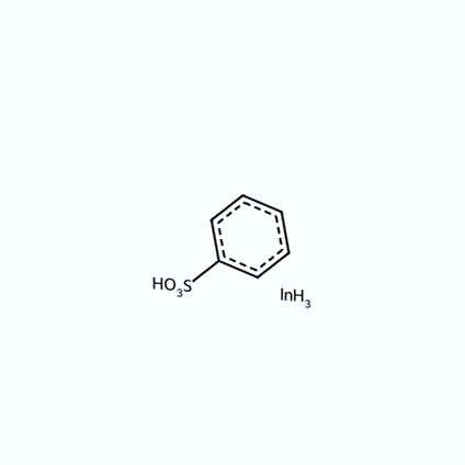 O=S(=O)(O)c1ccccc1.[InH3]